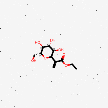 C=C(C(=O)OCC)C1O[C@H](CO)[C@@H](O)[C@H](O)[C@H]1O